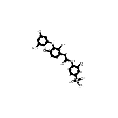 N#Cc1cc(Cl)cc(Oc2c(Cl)ccc(CC(=O)Nc3ccc(S(N)(=O)=O)cc3Cl)c2F)c1